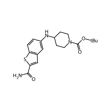 CC(C)(C)OC(=O)N1CCC(Nc2ccc3sc(C(N)=O)cc3c2)CC1